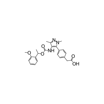 COc1ccccc1C(C)OC(=O)Nc1c(C)nn(C)c1-c1ccc(CC(=O)O)cc1